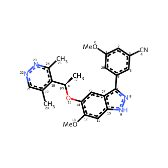 COc1cc(C#N)cc(-c2n[nH]c3cc(OC)c(O[C@H](C)c4c(C)cnnc4C)cc23)c1